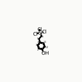 Oc1ccc(CC[Si](Cl)(Cl)Cl)cc1